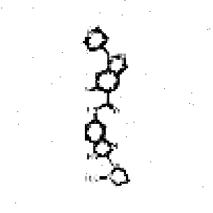 CN1CCC[C@@H]1c1nc2cc(NC(=O)c3cc4cnn(-c5ccncc5)c4cc3F)ccc2[nH]1